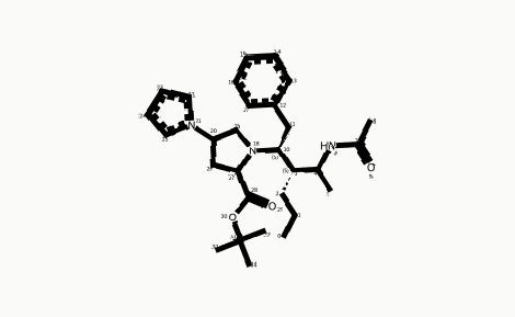 CCC[C@@H](C(C)NC(C)=O)[C@H](Cc1ccccc1)N1CC(n2cccc2)CC1C(=O)OC(C)(C)C